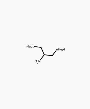 CCCCCCCCC(CCCCCCCC)[N+](=O)[O-]